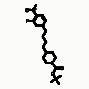 C[S+]([O-])c1ccc(CCCCC2CCN(C(=O)OC(C)(C)C)CC2)cc1F